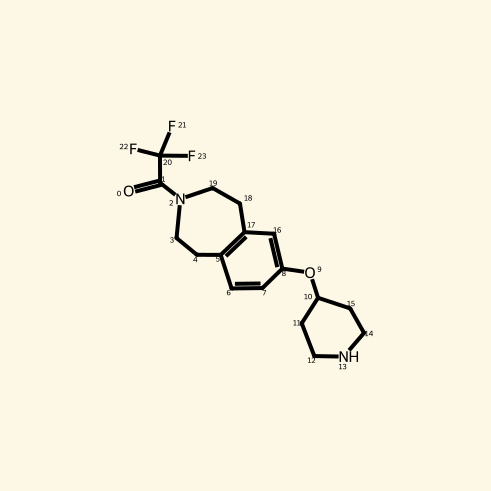 O=C(N1CCc2ccc(OC3CCNCC3)cc2CC1)C(F)(F)F